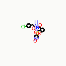 O=C(Cc1ccc(Cl)cc1)Nn1nc(S(=O)(=O)c2cc[n+]([O-])cc2)c2ccccc2c1=O